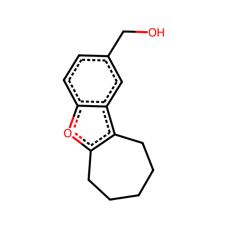 OCc1ccc2oc3c(c2c1)CCCCC3